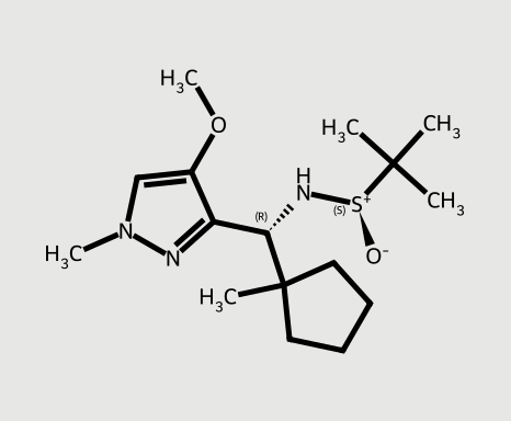 COc1cn(C)nc1[C@H](N[S@+]([O-])C(C)(C)C)C1(C)CCCC1